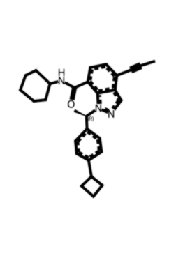 CC#Cc1ccc(C(=O)NC2CCCCC2)c2c1cnn2[C@H](C)c1ccc(C2CCC2)cc1